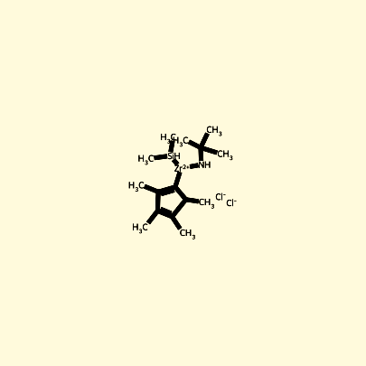 CC1=C(C)C(C)[C]([Zr+2]([NH]C(C)(C)C)[SiH](C)C)=C1C.[Cl-].[Cl-]